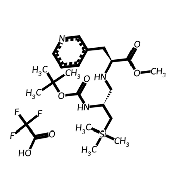 COC(=O)[C@H](Cc1cccnc1)NC[C@H](C[Si](C)(C)C)NC(=O)OC(C)(C)C.O=C(O)C(F)(F)F